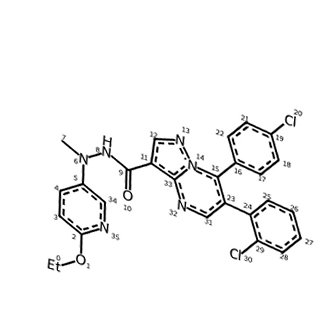 CCOc1ccc(N(C)NC(=O)c2cnn3c(-c4ccc(Cl)cc4)c(-c4ccccc4Cl)cnc23)cn1